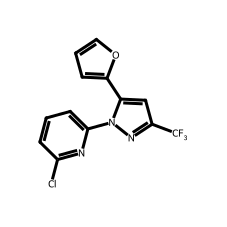 FC(F)(F)c1cc(-c2ccco2)n(-c2cccc(Cl)n2)n1